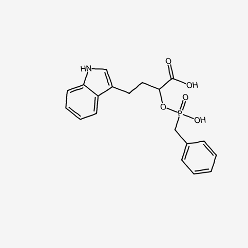 O=C(O)C(CCc1c[nH]c2ccccc12)OP(=O)(O)Cc1ccccc1